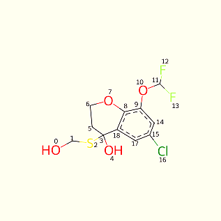 OCSC1(O)CCOc2c(OC(F)F)cc(Cl)cc21